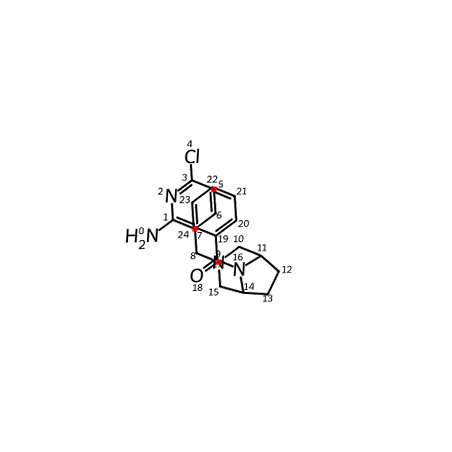 Nc1nc(Cl)ccc1CN1CC2CCC(C1)N2C(=O)c1ccccc1